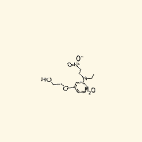 CCN(CC[N+](=O)[O-])c1cccc(OCCO)c1.O